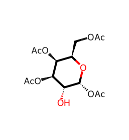 CC(=O)OC[C@H]1O[C@H](OC(C)=O)[C@H](O)[C@@H](OC(C)=O)[C@H]1OC(C)=O